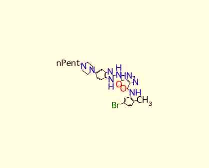 CCCCCN1CCN(c2ccc3[nH]c(NC(=O)c4[nH]cnc4C(=O)Nc4cc(Br)ccc4C)nc3c2)CC1